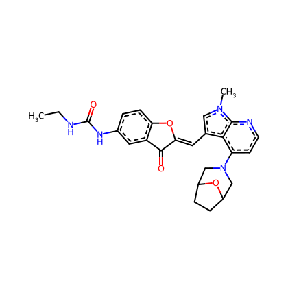 CCNC(=O)Nc1ccc2c(c1)C(=O)/C(=C/c1cn(C)c3nccc(N4CC5CCC(C4)O5)c13)O2